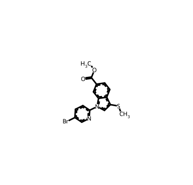 COC(=O)c1ccc2c(SC)cn(-c3ccc(Br)cn3)c2c1